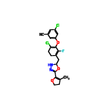 CC1=C(C2=NNC(CC3=C(F)C(Oc4cc(Cl)cc(C#N)c4)=C(Cl)CC3)O2)OCC1